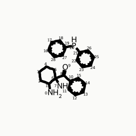 NC1CCCCC1(N)C(=O)c1ccccc1.c1ccc(Pc2ccccc2)cc1